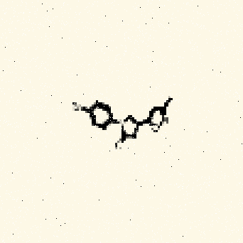 Cc1cc(C2CC(=O)N(c3ccc(Br)cc3)C2)on1